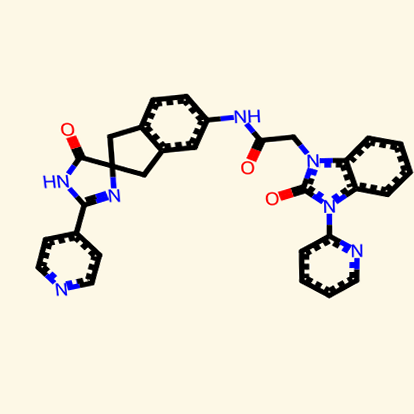 O=C(Cn1c(=O)n(-c2ccccn2)c2ccccc21)Nc1ccc2c(c1)CC1(C2)N=C(c2ccncc2)NC1=O